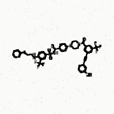 O=C(NS(=O)(=O)c1ccc(NCCSc2ccccc2)c(C(F)(F)F)c1)c1ccc(N2CCN(C(=O)c3cc(C#Cc4cccc(O)c4)cc(C(F)(F)F)c3)CC2)cc1